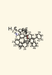 C=C/C=C\c1c(C)c(C(F)(F)F)c2ccccc2c1-c1cccc2sc3ccc(-c4c5ccccc5c(-c5ccccc5)c5ccccc45)cc3c12